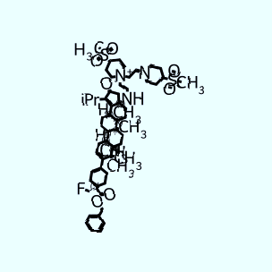 CC(C)C1=C2[C@H]3CC[C@@H]4[C@@]5(C)CC=C(C6=CC[C@](CF)(C(=O)OCc7ccccc7)CC6)C(C)(C)[C@@H]5CC[C@@]4(C)[C@]3(C)CC[C@@]2(NCC[N+]2(CCN3CCC(S(C)(=O)=O)CC3)CCC(S(C)(=O)=O)CC2)CC1=O